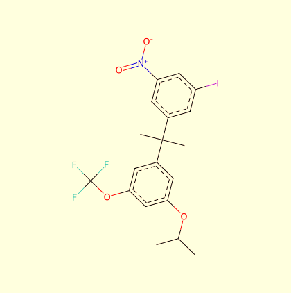 CC(C)Oc1cc(OC(F)(F)F)cc(C(C)(C)c2cc(I)cc([N+](=O)[O-])c2)c1